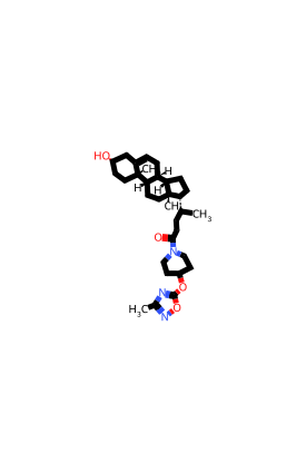 Cc1noc(OC2CCN(C(=O)CCC(C)[C@H]3CC[C@H]4[C@@H]5CC=C6C[C@@H](O)CC[C@]6(C)[C@H]5CC[C@]34C)CC2)n1